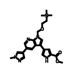 COC(=O)c1cc(-c2cn(COCC[Si](C)(C)C)c3ncc(-c4cnn(C)c4)cc23)c[nH]1